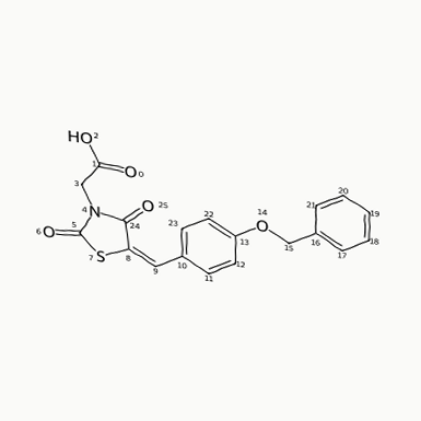 O=C(O)CN1C(=O)SC(=Cc2ccc(OCc3ccccc3)cc2)C1=O